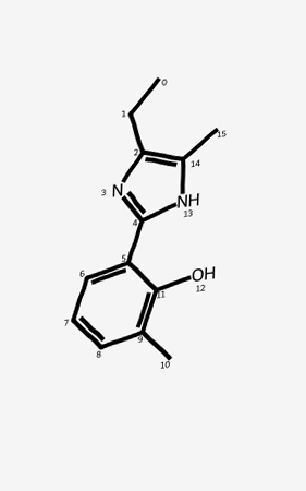 CCc1nc(-c2cccc(C)c2O)[nH]c1C